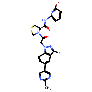 CC(=O)c1nn(CC(=O)N2CSC[C@H]2C(=O)Nc2cccc(Br)n2)c2ccc(-c3cnc(C)nc3)cc12